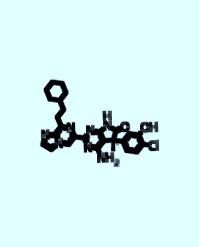 C[C@]1(c2ccc(Cl)c(O)c2)C(=O)Nc2nc(-c3cn4ccnc4c(CCC4CCCCC4)n3)nc(N)c21